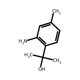 Cc1ccc(C(C)(C)O)c(N)c1